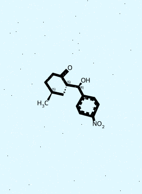 C[C@H]1CCC(=O)[C@H]([C@@H](O)c2ccc([N+](=O)[O-])cc2)C1